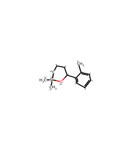 Cc1ccccc1C1CCC[Si](C)(C)O1